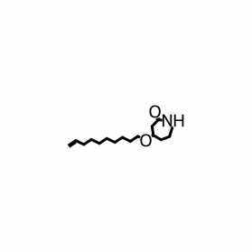 C=CCCCCCCCCOC1CCCNC(=O)C1